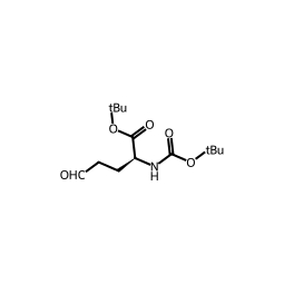 CC(C)(C)OC(=O)N[C@@H](CCC=O)C(=O)OC(C)(C)C